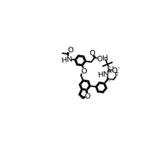 CC(=O)Nc1ccc(CC(=O)O)c(OCc2cc(-c3cccc([C@H](CF)N[S@+]([O-])C(C)(C)C)c3)c3occc3c2)c1